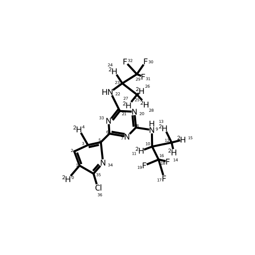 [2H]c1cc([2H])c(-c2nc(NC([2H])(C([2H])([2H])[2H])C(F)(F)F)nc(NC([2H])(C([2H])([2H])[2H])C(F)(F)F)n2)nc1Cl